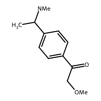 CNC(C)c1ccc(C(=O)COC)cc1